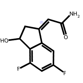 NC(=O)/C=C1/CC(O)c2c(F)cc(F)cc21